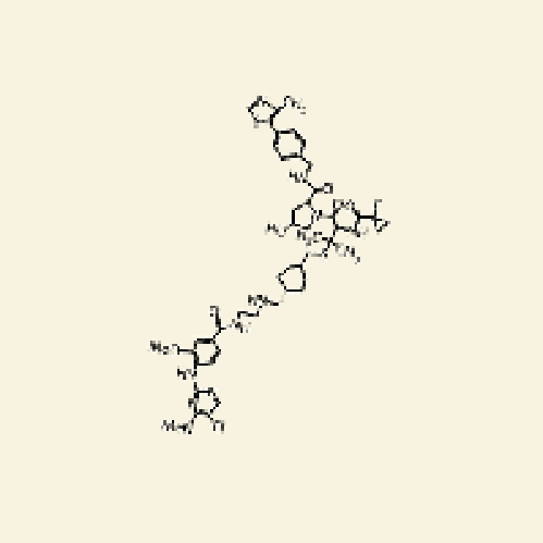 CNc1nc(Nc2ccc(C(=O)NCCNC[C@H]3CC[C@H](CSC(C)(C)[C@H](NC(=O)C4(F)CC4)C(=O)N4C[C@@H](O)CC4C(=O)NCc4ccc(-c5scnc5C)cc4)CC3)cc2OC)ncc1Cl